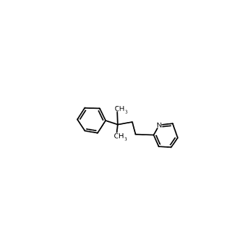 CC(C)(CCc1ccccn1)c1ccccc1